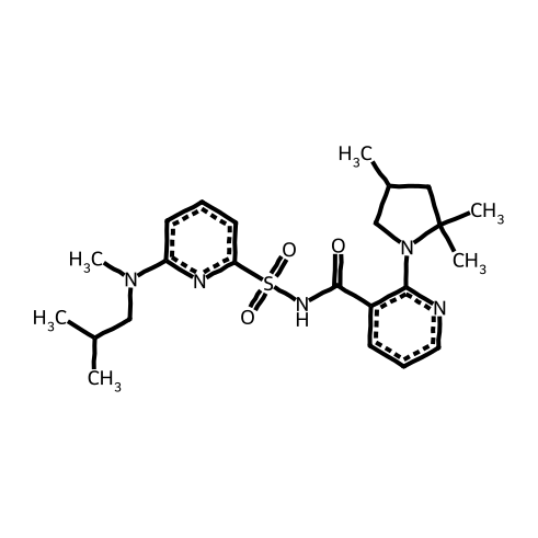 CC(C)CN(C)c1cccc(S(=O)(=O)NC(=O)c2cccnc2N2CC(C)CC2(C)C)n1